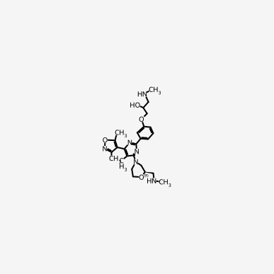 CNCC(O)COc1cccc(-c2nc(-c3c(C)noc3C)c(C)c(N3CCO[C@H](CNC)C3)n2)c1